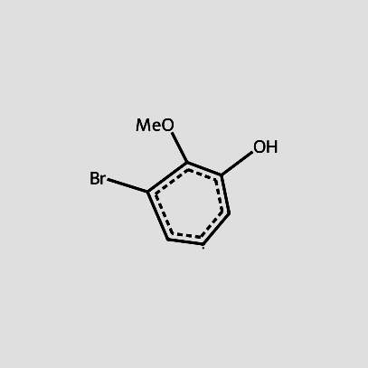 COc1c(O)c[c]cc1Br